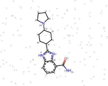 NC(=O)c1cccc2[nH]c(C3CCC(N4CCCC4)CC3)nc12